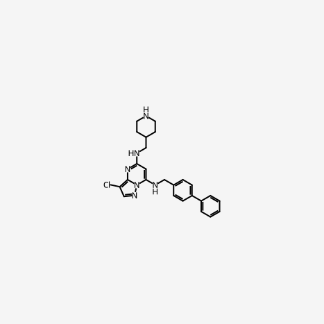 Clc1cnn2c(NCc3ccc(-c4ccccc4)cc3)cc(NCC3CCNCC3)nc12